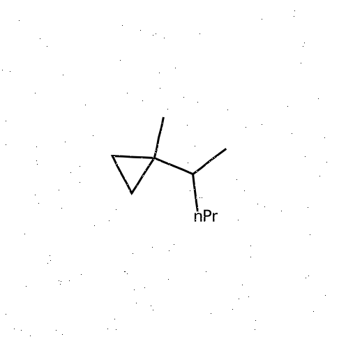 CCCC(C)C1(C)CC1